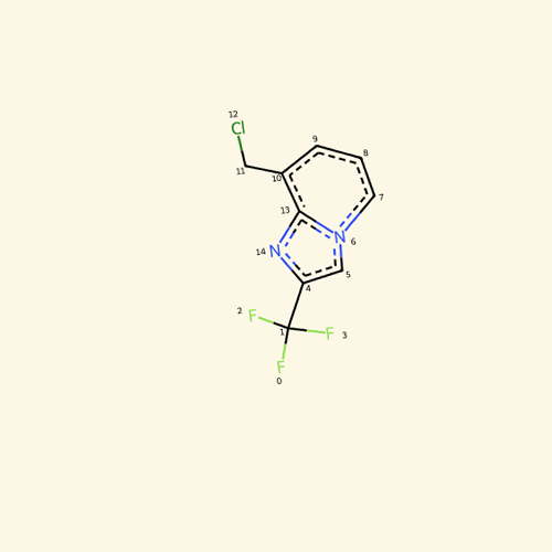 FC(F)(F)c1cn2cccc(CCl)c2n1